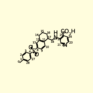 Cc1ccc(S(=O)(=O)c2ccc3c(c2)CCCC3CNc2cnccc2C(=O)O)cc1